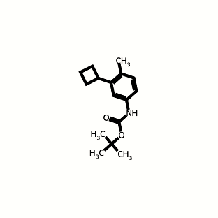 Cc1ccc(NC(=O)OC(C)(C)C)cc1C1CCC1